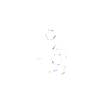 CC(=O)NC1(N=C=S)C=CC(C=Cc2ccccc2)C(S(=O)(=O)[O-])(S(=O)(=O)[O-])C1.[Na+].[Na+]